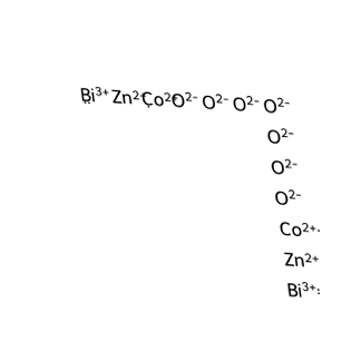 [Bi+3].[Bi+3].[Co+2].[Co+2].[O-2].[O-2].[O-2].[O-2].[O-2].[O-2].[O-2].[Zn+2].[Zn+2]